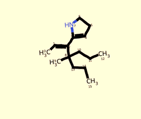 C/C=C(/C1=CCCN1)C(C)(CCC)CCC